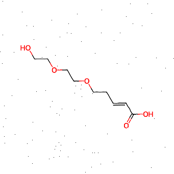 O=C(O)C=CCCOCCOCCO